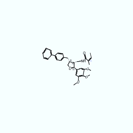 C/C=C(/C)C(=O)NC[C@H]1[C@@H](Cc2ccc(-c3ccccc3)cc2)CO[C@@H]1c1cc(OC)c(OC)c(OC)c1